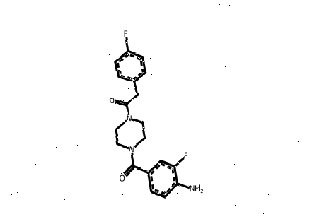 Nc1ccc(C(=O)N2CCN(C(=O)Cc3ccc(F)cc3)CC2)cc1F